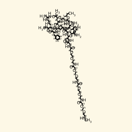 CCCC[C@H](NC(=O)[C@H](CN)NC(=O)[C@H](Cc1c[nH]cn1)NC(=O)[C@H](CCC(N)=O)NC(=O)[C@H](CO)NC(=O)CNC(=O)COCCOCCNC(=O)COCCOCCNC(=O)COCCOCCNC(=O)COCCOCCNC)C(=O)N[C@@H](CCC(C)=O)C(=O)N1C[C@H](O)C[C@H]1C(=O)N[C@H](Cc1ccccc1)C(=O)N[C@@H](CCCNC(=N)N)C(=O)NC